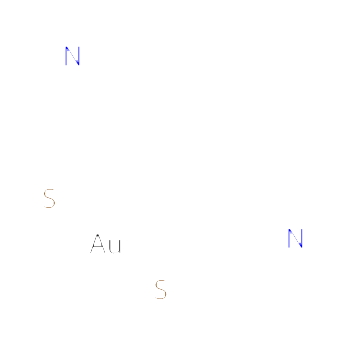 N#C[S][Au][S]C#N